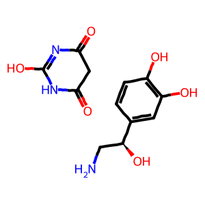 NC[C@H](O)c1ccc(O)c(O)c1.O=C1CC(=O)NC(O)=N1